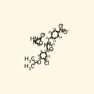 CC(C)Oc1ccc(C2=NN(Cc3ccc([N+](=O)[O-])cc3)CO2)cc1Cl.O=c1[nH]nco1